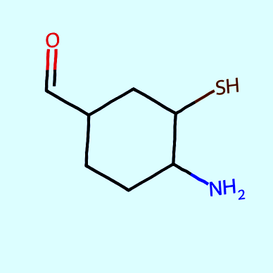 NC1CCC(C=O)CC1S